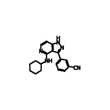 N#Cc1cccc(-c2n[nH]c3ccnc(NC4CCCCC4)c23)c1